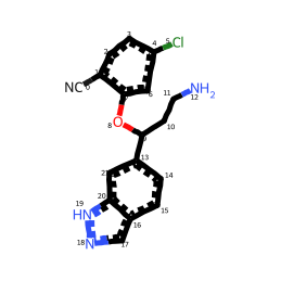 N#Cc1ccc(Cl)cc1OC(CCN)c1ccc2cn[nH]c2c1